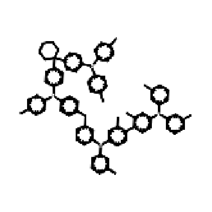 Cc1ccc(N(c2ccc(C)cc2)c2ccc(C3(c4ccc(N(c5ccc(C)cc5)c5ccc(Cc6cccc(N(c7cccc(C)c7)c7ccc(-c8ccc(N(c9cccc(C)c9)c9cccc(C)c9)cc8C)c(C)c7)c6)cc5)cc4)CCCCC3)cc2)cc1